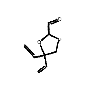 C=CC1(C=C)COC(C=O)O1